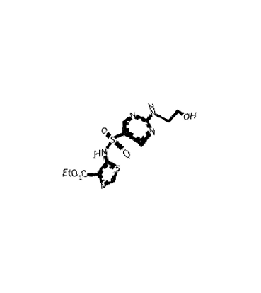 CCOC(=O)c1ncsc1NS(=O)(=O)c1cnc(NCCO)nc1